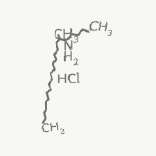 CCCCCCCCCCCCCCCCCCC(C)C(N)CCCCC.Cl